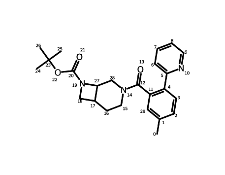 Cc1ccc(-c2ccccn2)c(C(=O)N2CCC3CN(C(=O)OC(C)(C)C)C3C2)c1